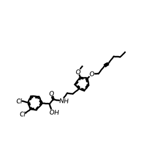 CCCC#CCOc1ccc(CCNC(=O)C(O)c2ccc(Cl)c(Cl)c2)cc1OC